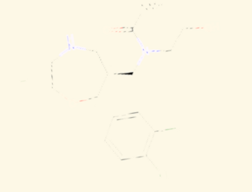 CNC(=O)N(CCO)C[C@@H]1CNCCO[C@H]1c1ccc(Cl)c(Cl)c1.Cl